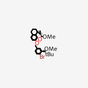 COC(=O)[C@@H]1C[C@]12CCCc1ccc(OCc3ccc(Br)c([C@H](OC)C(C)(C)C)c3)cc12